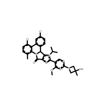 COc1nc(N2CC(C)(O)C2)ncc1-c1nc2c(n1C(C)C)C1c3ccc(Cl)cc3-c3c(Cl)ccc(C)c3N1C2=O